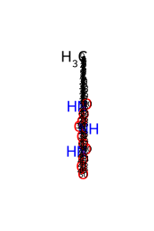 CCCCCCCCCCCCCCCCCCCC(=O)NCCOCCOCC(=O)NCCOCCOCC(=O)NCCOCCOCC=O